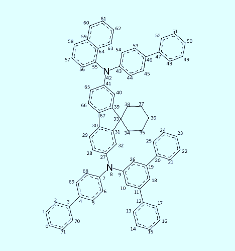 c1ccc(-c2ccc(N(c3cc(-c4ccccc4)cc(-c4ccccc4)c3)c3ccc4c(c3)C3(CCCCC3)c3cc(N(c5ccc(-c6ccccc6)cc5)c5cccc6ccccc56)ccc3-4)cc2)cc1